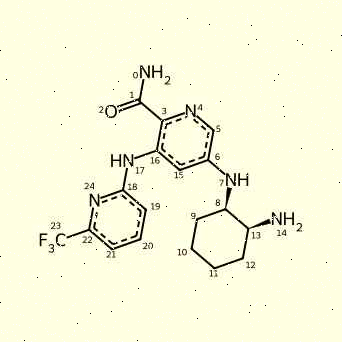 NC(=O)c1ncc(N[C@@H]2CCCC[C@@H]2N)cc1Nc1cccc(C(F)(F)F)n1